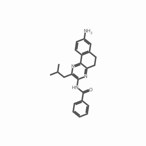 CC(C)Cc1nc2c(nc1NC(=O)c1ccccc1)CCc1cc(N)ccc1-2